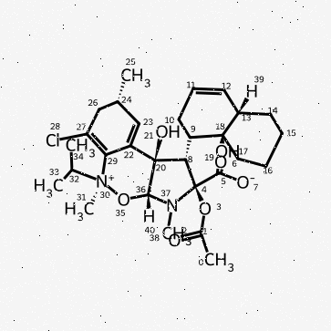 CC(=O)O[C@]1(C(=O)[O-])[C@@H](C2CC=C[C@@H]3CCCC[C@]23O)[C@@]2(O)C3=C[C@@H](C)CC(Cl)=C3[N@+](C)(C(C)C)O[C@H]2N1C